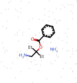 CCC(CC)(CN)OC(=O)c1ccccc1.N